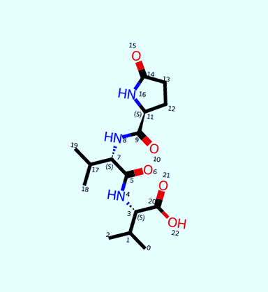 CC(C)[C@H](NC(=O)[C@@H](NC(=O)[C@@H]1CCC(=O)N1)C(C)C)C(=O)O